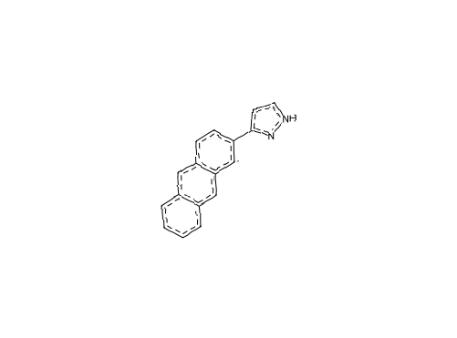 [c]1c(-c2cc[nH]n2)ccc2cc3ccccc3cc12